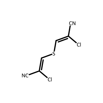 N#CC(Cl)=CSC=C(Cl)C#N